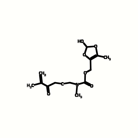 C=C(C)C(=O)CCCN(C)C(=O)OCC1=C(C)OC(O)O1